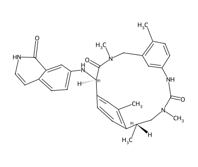 Cc1ccc2cc1CN(C)C(=O)[C@H](Nc1ccc3cc[nH]c(=O)c3c1)c1ccc(c(C)c1)[C@@H](C)CN(C)C(=O)N2